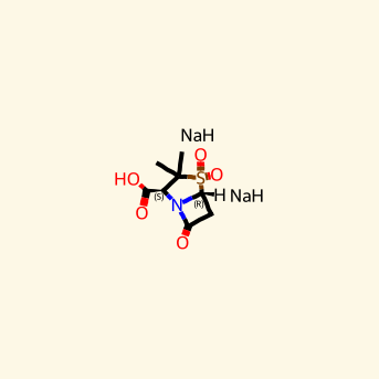 CC1(C)[C@H](C(=O)O)N2C(=O)C[C@H]2S1(=O)=O.[NaH].[NaH]